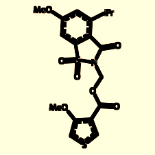 COc1cc(C(C)C)c2c(c1)S(=O)(=O)N(COC(=O)c1cscc1OC)C2=O